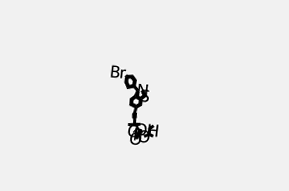 CCC(C)OP(=O)(O)OC(C)(C)C#Cc1ccc2c(-c3ccc(Br)cc3)nsc2c1